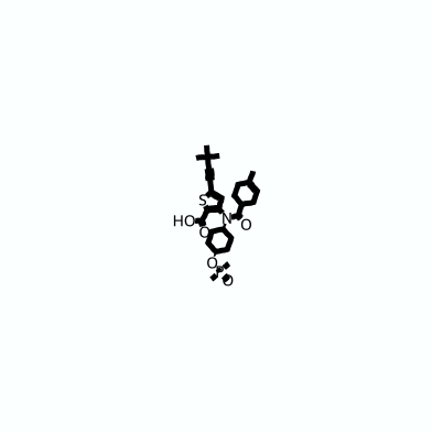 CC1=CCC(C(=O)N(c2cc(C#CC(C)(C)C)sc2C(=O)O)[C@H]2CC[C@H](OP(C)(C)=O)CC2)CC1